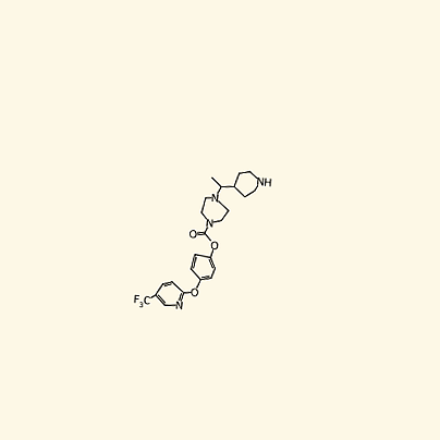 CC(C1CCNCC1)N1CCN(C(=O)Oc2ccc(Oc3ccc(C(F)(F)F)cn3)cc2)CC1